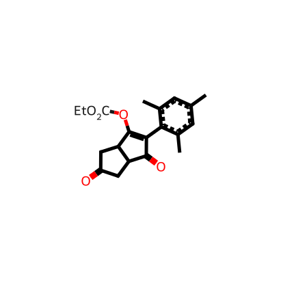 CCOC(=O)OC1=C(c2c(C)cc(C)cc2C)C(=O)C2CC(=O)CC12